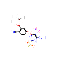 CC(C)(C)OC(=O)c1cc(Oc2nc(S(C)(=O)=O)nc(N)c2[N+](=O)[O-])ccc1C#N